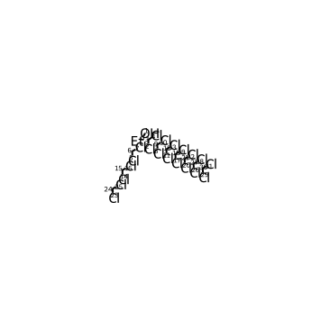 CCO.ClCCl.ClCCl.ClCCl.ClCCl.ClCCl.ClCCl.ClCCl.ClCCl.ClCCl.ClCCl